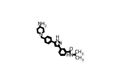 CC(C)NC(=O)c1cccc(-c2cc(-c3ccc(CN4CCC(N)CC4)cc3)[nH]n2)c1